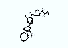 CN1Nc2cc(-c3ccc(C(=O)N4CCN(C(=O)C5(N)CC5)CC4)c(F)c3)ccc2C12CCCCCCC2